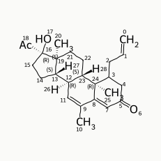 C=CCC1CC(=O)C=C2C(C)=C[C@H]3[C@@H]4CC[C@](O)(C(C)=O)[C@@]4(C)CC[C@@H]3[C@]21C